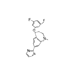 CN1CCC(Oc2cc(F)cc(F)c2)c2ccc(-c3ncccn3)cc2C1